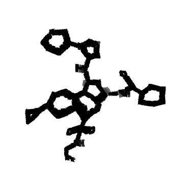 CC(C)CNS(=O)(=O)c1cc2c(c3cnc(C4CC4)cc13)[C@@H](Nc1nncn1-c1cccnc1)C[C@@H]2NC(=O)c1cccnc1